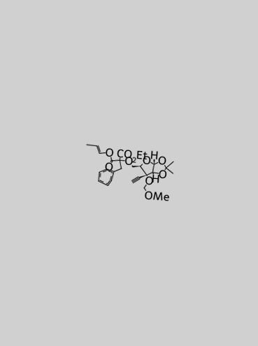 C#C[C@@]1(OCOC)[C@@H](COC(Cc2ccccc2)(C(=O)OC=CC)C(=O)OCC)O[C@@H]2OC(C)(C)O[C@@H]21